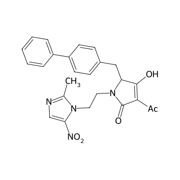 CC(=O)C1=C(O)C(Cc2ccc(-c3ccccc3)cc2)N(CCn2c([N+](=O)[O-])cnc2C)C1=O